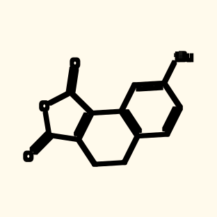 CC(C)(C)c1ccc2c(c1)C1=C(CC2)C(=O)OC1=O